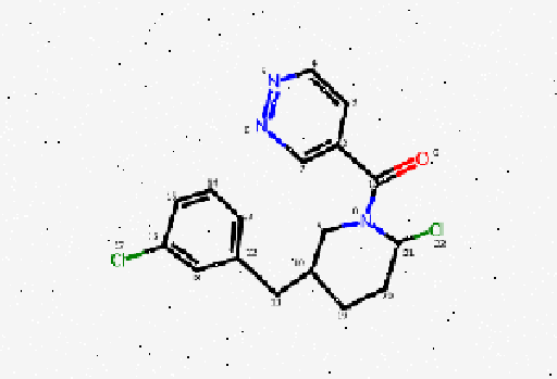 O=C(c1ccnnc1)N1CC(Cc2cccc(Cl)c2)[CH]CC1Cl